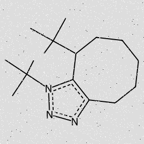 CC(C)(C)C1CCCCCc2nnn(C(C)(C)C)c21